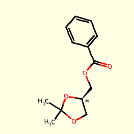 CC1(C)OC[C@H](COC(=O)c2ccccc2)O1